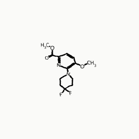 COC(=O)c1ccc(OC)c(N2CCC(F)(F)CC2)n1